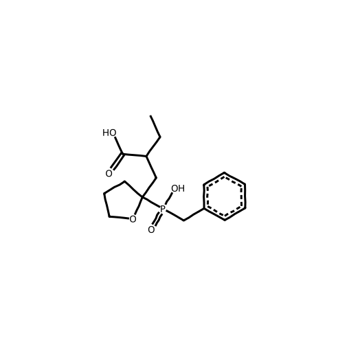 CCC(CC1(P(=O)(O)Cc2ccccc2)CCCO1)C(=O)O